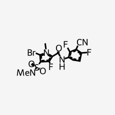 CNS(=O)(=O)c1c(F)c(C(=O)Nc2ccc(F)c(C#N)c2F)n(C)c1Br